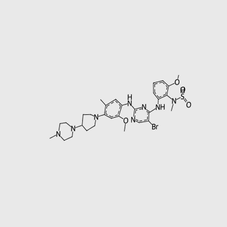 COc1cc(N2CCC(N3CCN(C)CC3)CC2)c(C)cc1Nc1ncc(Br)c(Nc2cccc(OC)c2N(C)[SH](=O)=O)n1